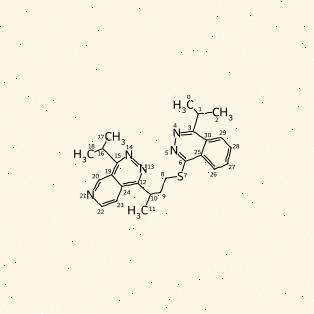 CC(C)c1nnc(SCCC(C)c2nnc(C(C)C)c3cnccc23)c2ccccc12